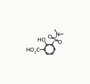 CN(C)S(=O)(=O)c1cccc(C(=O)O)c1O